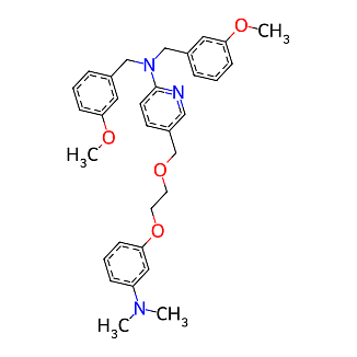 COc1cccc(CN(Cc2cccc(OC)c2)c2ccc(COCCOc3cccc(N(C)C)c3)cn2)c1